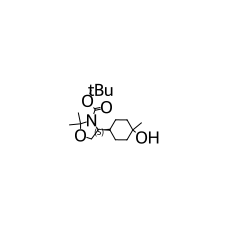 CC1(O)CCC([C@H]2COC(C)(C)N2C(=O)OC(C)(C)C)CC1